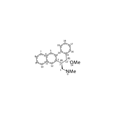 CNC[C@@H](c1ccc2ccccc2c1)[C@@H](OC)c1ccccc1